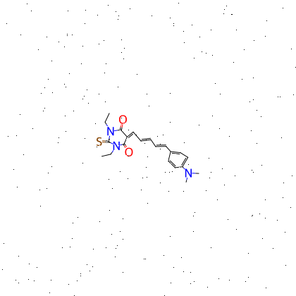 CCN1C(=O)C(=CC=CC=Cc2ccc(N(C)C)cc2)C(=O)N(CC)C1=S